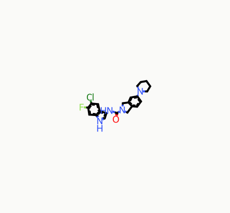 O=C(Nc1c[nH]c2cc(F)c(Cl)cc12)N1Cc2ccc(N3CCCCC3)cc2C1